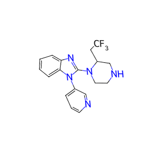 FC(F)(F)CC1CNCCN1c1nc2ccccc2n1-c1cccnc1